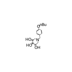 CCCCOc1ccc(CN2C[C@@H](O)[C@H](O)[C@@H](O)C2)cc1